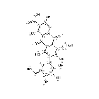 Cc1c(C(=O)O)c(O)cc2c1C(=O)c1c(O)c([C@H]3O[C@H](CO)[C@@H](O)[C@H](O)[C@H]3O)c(O)c(O)c1C2=O.[NaH]